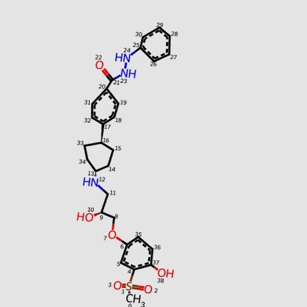 CS(=O)(=O)c1cc(OC[C@@H](O)CN[C@H]2CC[C@H](c3ccc(C(=O)NNc4ccccc4)cc3)CC2)ccc1O